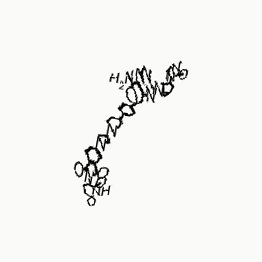 CN1CCN(C2CC3CC2N(c2nnc(C(N)=O)c(CCc4ccc(C5CCN(C6CN(c7ccc8c(c7)C(=O)N(C7CCC(=O)NC7=O)C8=O)C6)CC5)cc4)n2)C3)C1=O